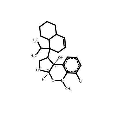 CC(C)C1(C2CN[C@@H]3ON(C)c4c(Cl)cccc4[C@]23O)CC=CC2CCCCC21